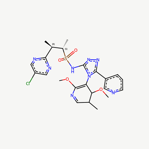 COC1=C(n2c(NS(=O)(=O)[C@@H](C)[C@H](C)c3ncc(Cl)cn3)nnc2-c2cccnc2)C(OC)C(C)C=N1